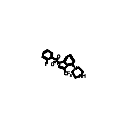 O=S(=O)(c1ccccc1F)n1cc(C(F)(F)F)c2c(N3CCNCC3)cccc21